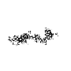 COc1ccc2c3c1OC1C(OC(=O)N(C)CCNC(=O)[C@@H](N)CCCNC(=N)NS(=O)(=O)c4c(C)c(C)c5c(c4C)CC(C)(C)O5)=CCC4[C@@H](C2)N(C)CC[C@]314